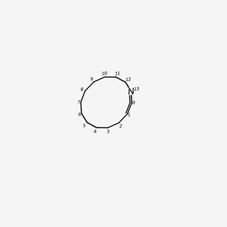 C1=CCCCCCCCCCCCN=1